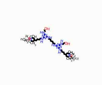 CCCCCCCCON1C(C)(C)CC(CCCCNc2nc(NCCO)nc(NCCCCCCNc3nc(NCCO)nc(NCCCCC4CC(C)(C)N(OCCCCCCCC)C(C)(C)C4)n3)n2)CC1(C)C